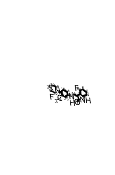 O=C1Nc2cccc(F)c2C1=CNc1ccc(N2CCSCC2)c(C(F)(F)F)c1